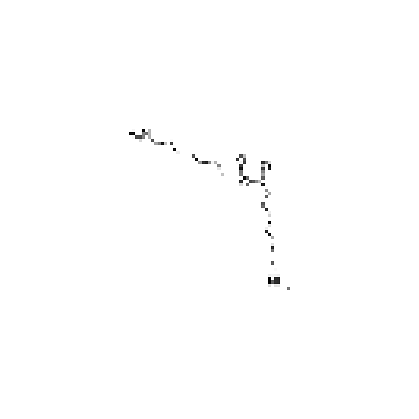 NCCCCCCCC(=O)OC(=O)CCCCCCCN